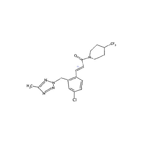 Cc1nnn(Cc2cc(Cl)ccc2/C=C/C(=O)N2CCC(C(F)(F)F)CC2)n1